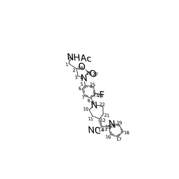 CC(=O)NCC1CN(c2ccc(N3CCC(=C(C#N)c4ccccn4)CC3)c(F)c2)C(=O)O1